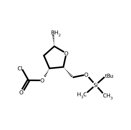 B[C@H]1C[C@@H](OC(=O)Cl)[C@@H](CO[Si](C)(C)C(C)(C)C)O1